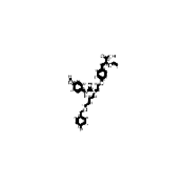 CCOC(Cc1ccc(OCCN(CCCCOCc2ccc(F)cc2)C(=O)Nc2ccc(OC)cc2)cc1)C(=O)O